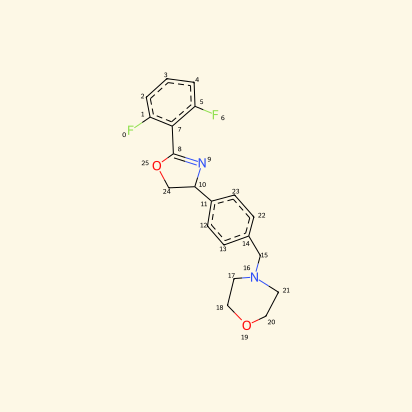 Fc1cccc(F)c1C1=NC(c2ccc(CN3CCOCC3)cc2)CO1